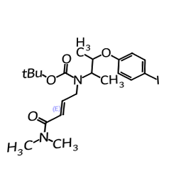 CC(Oc1ccc(I)cc1)C(C)N(C/C=C/C(=O)N(C)C)C(=O)OC(C)(C)C